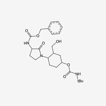 CC(C)(C)NC(=O)OC1CCC(N2CCC(NC(=O)OCc3ccccc3)C2=O)C(CO)C1